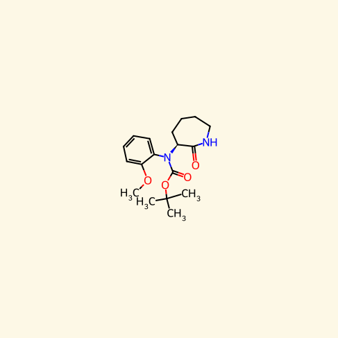 COc1ccccc1N(C(=O)OC(C)(C)C)[C@H]1CCCCNC1=O